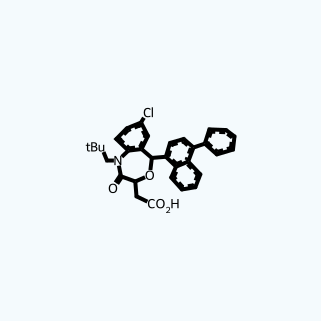 CC(C)(C)CN1C(=O)C(CC(=O)O)OC(c2ccc(-c3ccccc3)c3ccccc23)c2cc(Cl)ccc21